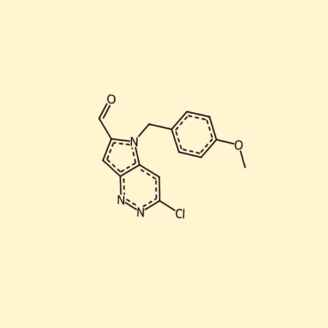 COc1ccc(Cn2c(C=O)cc3nnc(Cl)cc32)cc1